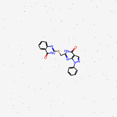 O=c1[nH]c(SCc2nc3c(cnn3-c3ccccc3)c(=O)[nH]2)nc2ccccc12